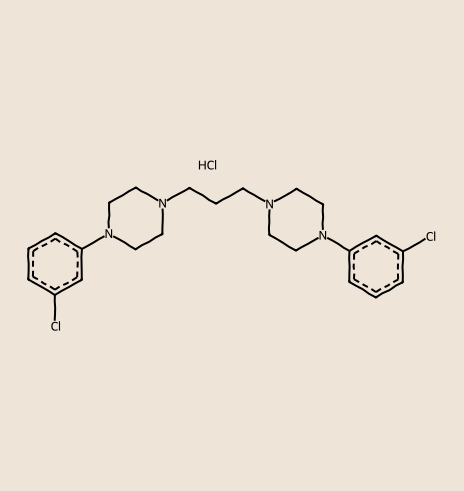 Cl.Clc1cccc(N2CCN(CCCN3CCN(c4cccc(Cl)c4)CC3)CC2)c1